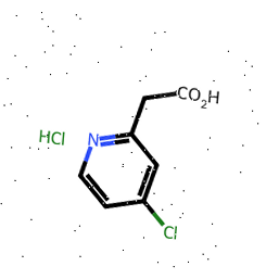 Cl.O=C(O)Cc1cc(Cl)ccn1